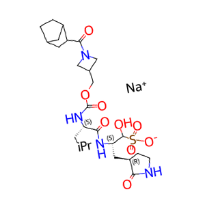 CC(C)C[C@H](NC(=O)OCC1CN(C(=O)C2CC3CCC2C3)C1)C(=O)N[C@@H](C[C@H]1CCNC1=O)C(O)S(=O)(=O)[O-].[Na+]